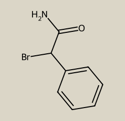 NC(=O)C(Br)c1ccccc1